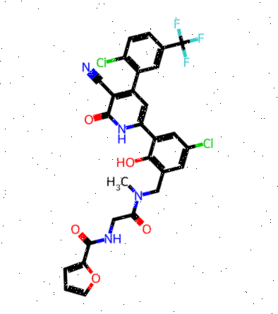 CN(Cc1cc(Cl)cc(-c2cc(-c3cc(C(F)(F)F)ccc3Cl)c(C#N)c(=O)[nH]2)c1O)C(=O)CNC(=O)c1ccco1